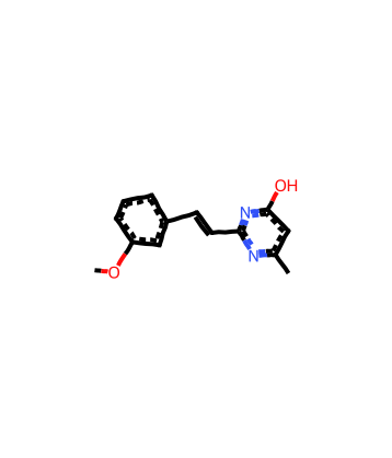 COc1cccc(C=Cc2nc(C)cc(O)n2)c1